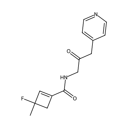 CC1(F)C=C(C(=O)NCC(=O)Cc2ccncc2)C1